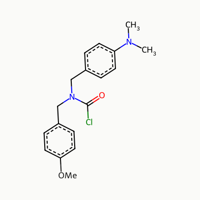 COc1ccc(CN(Cc2ccc(N(C)C)cc2)C(=O)Cl)cc1